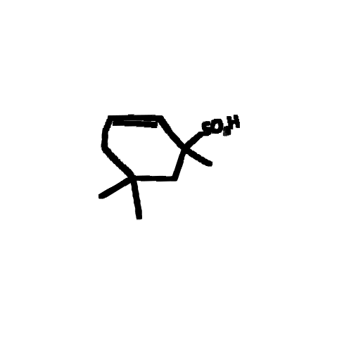 CC1(C)CC=CC(C)(S(=O)(=O)O)C1